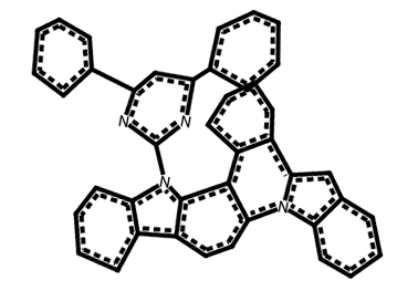 c1ccc(-c2cc(-c3ccccc3)nc(-n3c4ccccc4c4ccc5c(c6ccccc6c6cc7ccccc7n65)c43)n2)cc1